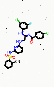 N#Cc1ccccc1S(=O)(=O)Nc1cccc(NC/C(=N\C(=O)c2ccc(Cl)cc2)Nc2cc(F)cc(Cl)c2)n1